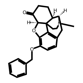 CN1CCC23c4c5ccc(OCc6ccccc6)c4O[C@H]2C(=O)CC[C@H]3[C@H]1C5